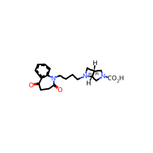 O=C1CCC(=O)N(CCCCN2C[C@@H]3CN(C(=O)O)C[C@@H]32)c2ccccc21